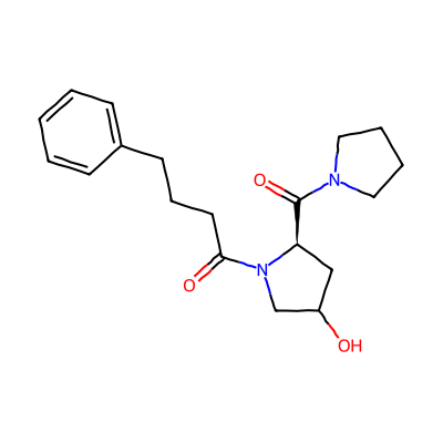 O=C([C@H]1CC(O)CN1C(=O)CCCc1ccccc1)N1CCCC1